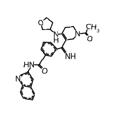 CC(=O)N1CCC(NC2CCOC2)=C(C(=N)c2cccc(C(=O)Nc3cnc4ccccc4c3)c2)C1